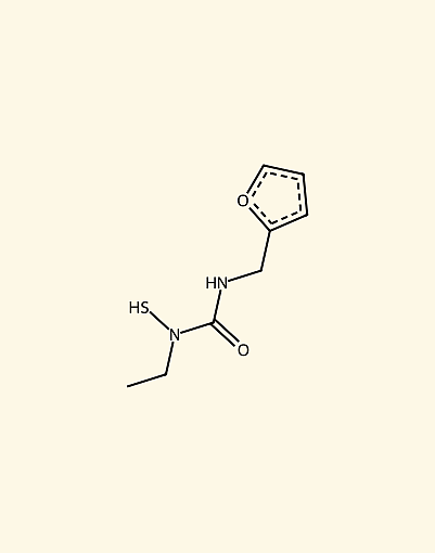 CCN(S)C(=O)NCc1ccco1